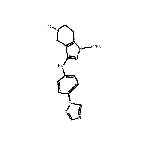 CC(=O)N1CCc2c(c(Nc3ccc(-n4cncn4)cc3)nn2C)C1